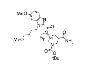 COCCCCn1c(C(=O)N(CC(C)C)[C@H]2CC(C(N)=O)CN(C(=O)OC(C)(C)C)C2)nc2ccc(OC)cc21